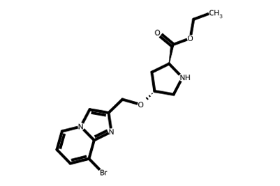 CCOC(=O)[C@@H]1C[C@@H](OCc2cn3cccc(Br)c3n2)CN1